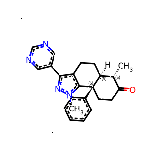 C[C@@H]1C(=O)CC[C@]2(c3ccccc3)c3c(c(-c4cncnc4)nn3C)CC[C@@H]12